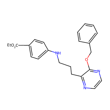 CCOC(=O)c1ccc(NCCCc2nccnc2OCc2ccccc2)cc1